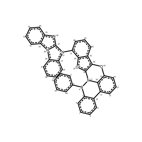 c1ccc(B2c3ccccc3-c3cccc4c3N2c2oc3c(-n5c6ccccc6n6c7ccccc7nc56)cccc3c2O4)cc1